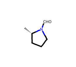 C[C@H]1CCCN1C=O